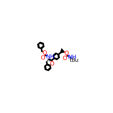 CC(C)(C)NC(=O)OC1CC1c1ccc(C(=O)[C@H](Cc2ccccc2)NC(=O)OCc2ccccc2)cc1